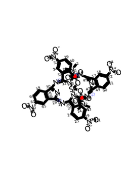 CN(C)S(=O)(=O)O[Si]1(OS(=O)(=O)N(C)C)n2c3c4cc([N+](=O)[O-])ccc4c2/N=C2N=C(/N=c4/c5cc([N+](=O)[O-])ccc5/c(n41)=N/C1=NC(=N\3)/c3ccc([N+](=O)[O-])cc31)c1ccc([N+](=O)[O-])cc1\2